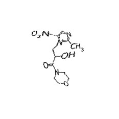 Cc1ncc([N+](=O)[O-])n1CC(O)C(=O)N1CCOCC1